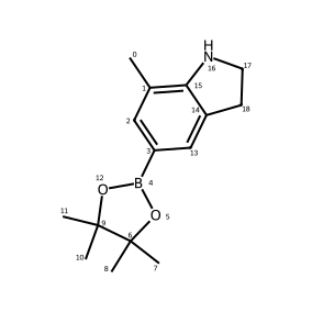 Cc1cc(B2OC(C)(C)C(C)(C)O2)cc2c1NCC2